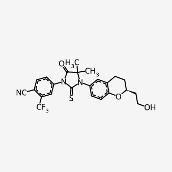 CC1(C)C(=O)N(c2ccc(C#N)c(C(F)(F)F)c2)C(=S)N1c1ccc2c(c1)CC[C@@H](CCO)O2